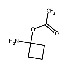 NC1(OC(=O)C(F)(F)F)CCC1